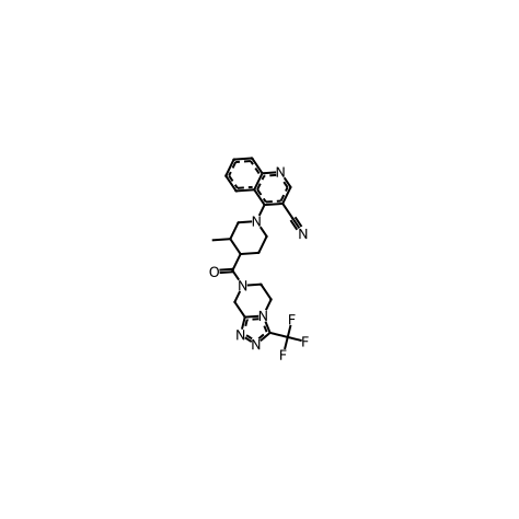 CC1CN(c2c(C#N)cnc3ccccc23)CCC1C(=O)N1CCn2c(nnc2C(F)(F)F)C1